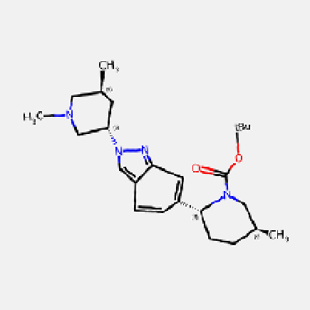 C[C@H]1C[C@H](n2cc3ccc([C@H]4CC[C@H](C)CN4C(=O)OC(C)(C)C)cc3n2)CN(C)C1